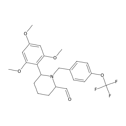 COc1cc(OC)c(C2CCCC(C=O)N2Cc2ccc(OC(F)(F)F)cc2)c(OC)c1